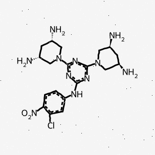 N[C@@H]1C[C@H](N)CN(c2nc(Nc3ccc([N+](=O)[O-])c(Cl)c3)nc(N3C[C@H](N)C[C@H](N)C3)n2)C1